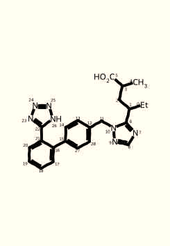 CCC(CC(C)C(=O)O)c1ncnn1Cc1ccc(-c2ccccc2-c2nnn[nH]2)cc1